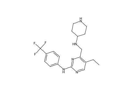 CCc1cnc(Nc2ccc(C(F)(F)F)cc2)nc1CNC1CCNCC1